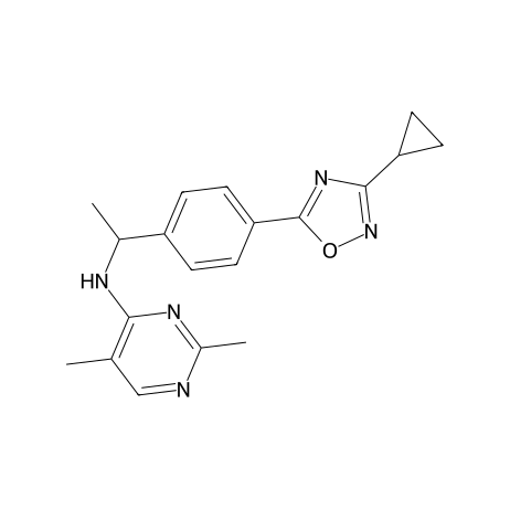 Cc1ncc(C)c(NC(C)c2ccc(-c3nc(C4CC4)no3)cc2)n1